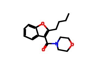 CCCCc1oc2ccccc2c1C(=O)N1CCOCC1